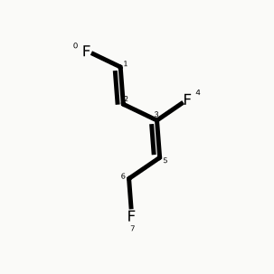 F/C=C/C(F)=C\CF